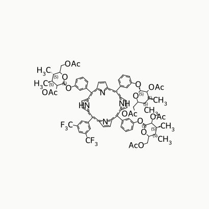 CC(=O)OCC1O[C@@H](Oc2cccc(-c3c4nc(c(-c5cccc(O[C@@H]6OC(COC(C)=O)[C@@H](C)[C@H](C)C6OC(C)=O)c5)c5ccc([nH]5)c(-c5cc(C(F)(F)F)cc(C(F)(F)F)c5)c5nc(c(-c6cccc(O[C@@H]7OC(COC(C)=O)[C@@H](C)[C@H](C)C7OC(C)=O)c6)c6ccc3[nH]6)C=C5)C=C4)c2)C(OC(C)=O)[C@@H](C)[C@@H]1C